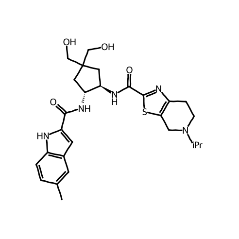 Cc1ccc2[nH]c(C(=O)N[C@@H]3CC(CO)(CO)C[C@H]3NC(=O)c3nc4c(s3)CN(C(C)C)CC4)cc2c1